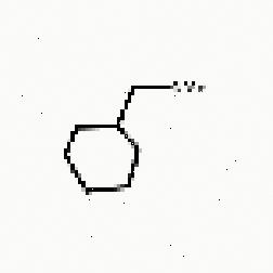 C[N]CC1CCCCC1